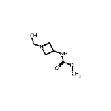 CCN1CC(NC(=O)OC)C1